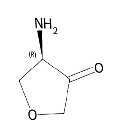 N[C@@H]1COCC1=O